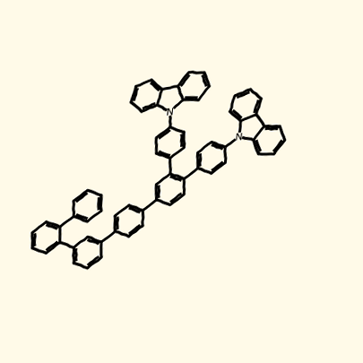 c1ccc(-c2ccccc2-c2cccc(-c3ccc(-c4ccc(-c5ccc(-n6c7ccccc7c7ccccc76)cc5)c(-c5ccc(-n6c7ccccc7c7ccccc76)cc5)c4)cc3)c2)cc1